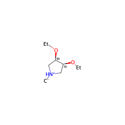 [CH2-][NH+]1C[C@H](OCC)[C@H](OCC)C1